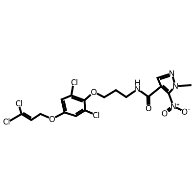 Cn1ncc(C(=O)NCCCOc2c(Cl)cc(OCC=C(Cl)Cl)cc2Cl)c1[N+](=O)[O-]